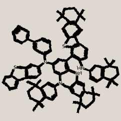 CC1(C)CCC(C)(C)c2cc(Nc3ccc4c(sc5cc6c(cc54)C(C)(C)CCC6(C)C)c3-c3cc(N(c4cccc(-c5ccccc5)c4)c4ccc5c(c4)sc4ccccc45)cc4c3Bc3cc5c(cc3N4c3ccc4c(c3)C(C)(C)CCC4(C)C)C(C)(C)CCC5(C)C)ccc21